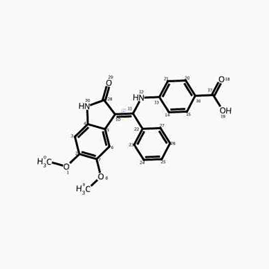 COc1cc2c(cc1OC)/C(=C(/Nc1ccc(C(=O)O)cc1)c1ccccc1)C(=O)N2